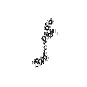 Nc1ncnc2c1c(-c1ccc(Oc3ccccc3)cc1)nn2[C@@H]1CCCN(CCCCCCCSc2cccc3c2CN(C2CCC(=O)NC2=O)C3=O)C1